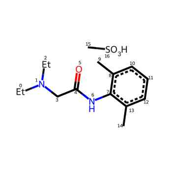 CCN(CC)CC(=O)Nc1c(C)cccc1C.CS(=O)(=O)O